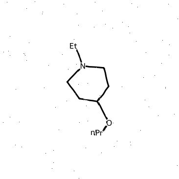 CCCOC1CCN(CC)CC1